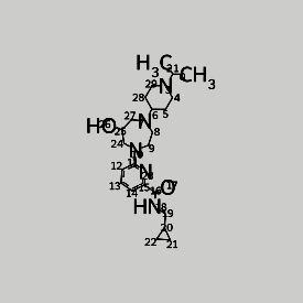 CC(C)N1CCC(N2CCN(c3cccc(C(=O)NCC4CC4)n3)CC(O)C2)CC1